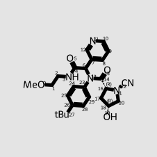 COCCNC(=O)C(c1cccnc1)N(C(=O)[C@H]1C[C@@H](O)CN1C#N)c1ccc(C(C)(C)C)cc1